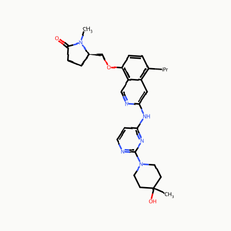 CC(C)c1ccc(OC[C@H]2CCC(=O)N2C)c2cnc(Nc3ccnc(N4CCC(C)(O)CC4)n3)cc12